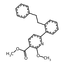 COC(=O)c1ccc(-c2ccccc2CCc2ccccc2)nc1OC